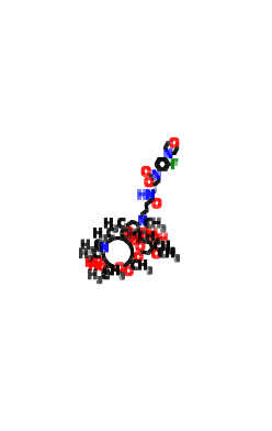 CC[C@H]1OC(=O)[C@H](C)[C@@H](O[C@H]2C[C@@](C)(OC)[C@@H](O)[C@H](C)O2)C[C@@H](O[C@@H]2O[C@H](C)C[C@H](N(C)CCCC(=O)NC[C@H]3CN(c4ccc(N5CCOCC5)c(F)c4)C(=O)O3)[C@H]2O)[C@](C)(O)C[C@@H](C)CN(C)[C@H](C)[C@@H](O)[C@]1(C)O